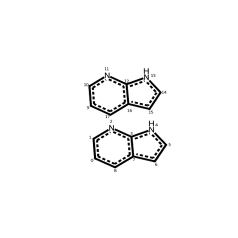 c1cnc2[nH]ccc2c1.c1cnc2[nH]ccc2c1